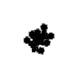 O=C(OCc1ccccc1)N1C[C@H](OCc2ccccc2)[C@H](O[C@H]2O[C@H](COCc3ccccc3)[C@@H](O[C@H]3[C@@H](OCc4ccccc4)CN(C(=O)OCc4ccccc4)[C@H]3COCc3ccccc3)[C@H](OCc3ccccc3)[C@H]2OCc2ccccc2)[C@@H]1COCc1ccccc1